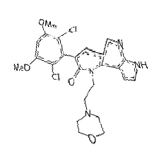 COc1cc(OC)c(Cl)c(-c2cc3cnc4[nH]ccc4c3n(CCN3CCOCC3)c2=O)c1Cl